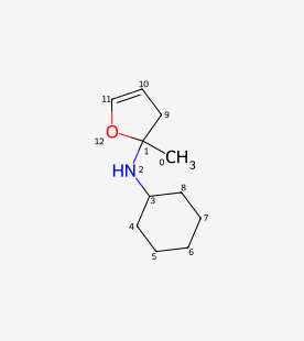 CC1(NC2CCCCC2)CC=CO1